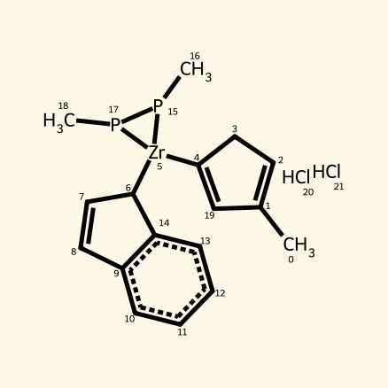 CC1=CC[C]([Zr]2([CH]3C=Cc4ccccc43)[P](C)[P]2C)=C1.Cl.Cl